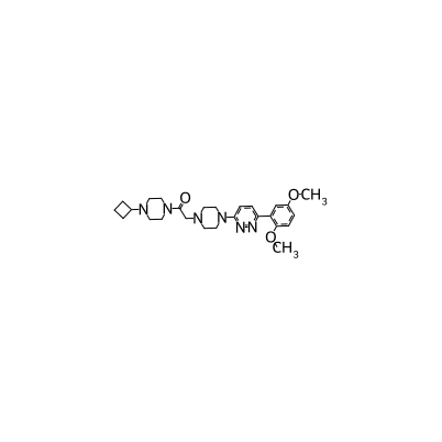 COc1ccc(OC)c(-c2ccc(N3CCN(CC(=O)N4CCN(C5CCC5)CC4)CC3)nn2)c1